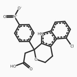 O=C(O)CC1(c2ccc([N+](=O)[O-])cc2)OCCc2c1[nH]c1cccc(Cl)c21